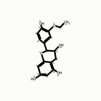 CCOc1cc(C2Oc3cc(O)cc(O)c3CC2O)ccc1O